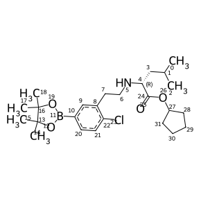 CC(C)C[C@@H](NCCc1cc(B2OC(C)(C)C(C)(C)O2)ccc1Cl)C(=O)OC1CCCC1